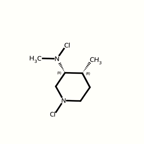 C[C@@H]1CCN(Cl)C[C@@H]1N(C)Cl